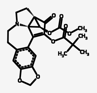 COC(=O)O[C@@H]1[C@]23CCN4CCc5cc6c(cc5C(=C(OC(=O)C(C)(C)C)C2=O)[C@@]143)OCO6